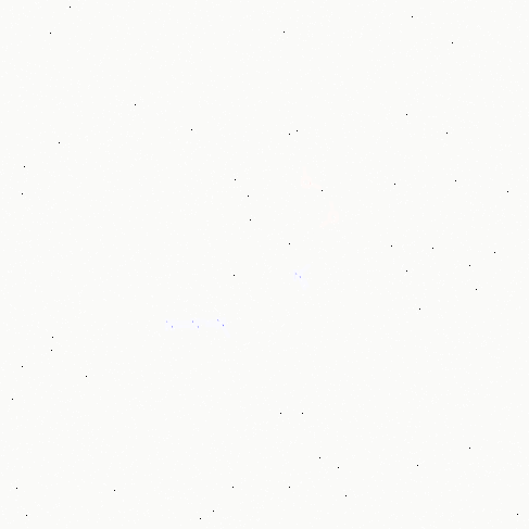 Cc1cc(CN=[N+]=[N-])cc(-c2nc(COC3CCCCO3)c(C)s2)c1